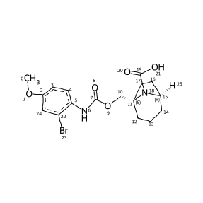 COc1ccc(NC(=O)OC[C@]23CCC[C@H](CC2)N3C(=O)O)c(Br)c1